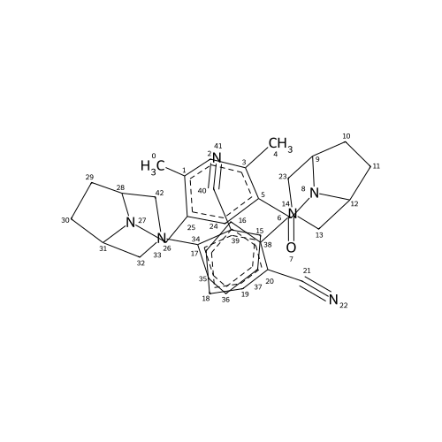 Cc1cc(C)c(C(=O)N2C3CCC2CN(c2ccccc2C#N)C3)cc1CN1C2CCC1CN(c1ccccc1C#N)C2